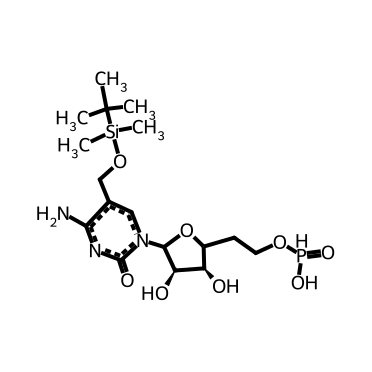 CC(C)(C)[Si](C)(C)OCc1cn(C2OC(CCO[PH](=O)O)[C@@H](O)[C@H]2O)c(=O)nc1N